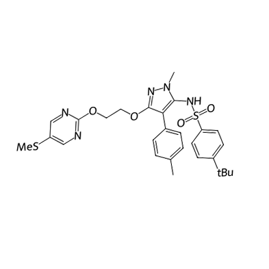 CSc1cnc(OCCOc2nn(C)c(NS(=O)(=O)c3ccc(C(C)(C)C)cc3)c2-c2ccc(C)cc2)nc1